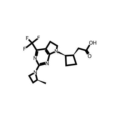 C[C@H]1CCN1c1nc2c(c(C(F)(F)F)n1)CCN2[C@@H]1CC[C@@H]1CC(=O)O